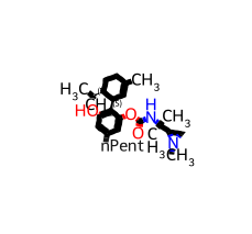 C=C(C)[C@@H]1CCC(C)=C[C@H]1c1c(O)cc(CCCCC)cc1OC(=O)NC(C)(C)C1CN1C